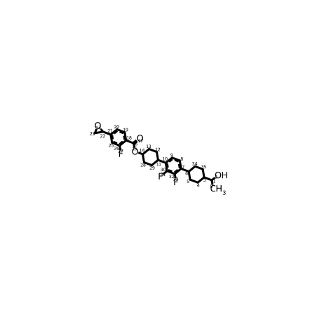 CC(O)C1CCC(c2ccc(C3CCC(OC(=O)c4ccc(C5CO5)cc4F)CC3)c(F)c2F)CC1